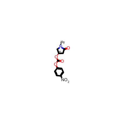 CC(C)N1C[C@H](OC(=O)Oc2ccc([N+](=O)[O-])cc2)CC1=O